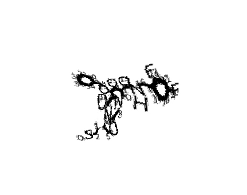 CSCC[C@H]1COC2Cn3cc(C(=O)NCc4ccc(F)cc4F)c(=O)c(OCc4ccccc4)c3C(=O)N21